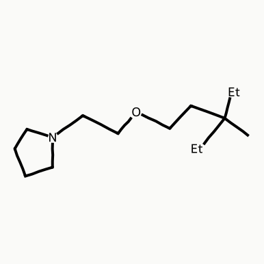 CCC(C)(CC)CCOCCN1CCCC1